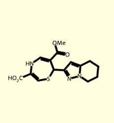 COC(=O)C1=CNC(C(=O)O)=CSC1c1cc2n(n1)CCCC2